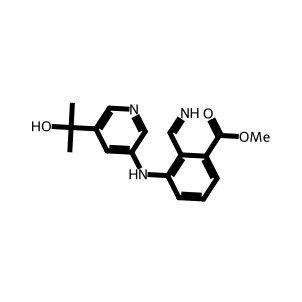 COC(=O)c1cccc(Nc2cncc(C(C)(C)O)c2)c1C=N